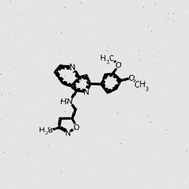 BC1=NOC(CNc2nc(-c3ccc(OC)c(OC)c3)cc3ncccc23)C1